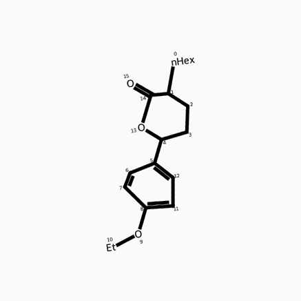 CCCCCCC1CCC(c2ccc(OCC)cc2)OC1=O